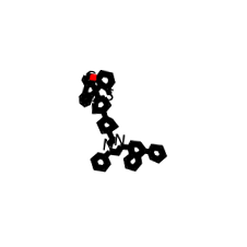 c1ccc(-c2cc(-c3ccc(-c4ccccc4)c4ccccc34)nc(-c3ccc(-c4ccc5c(c4)Sc4ccccc4C54c5ccccc5-c5ccccc54)cc3)n2)cc1